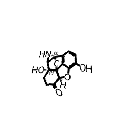 O=C1CC[C@@]2(O)C3N[C@]34C[C@@]23c2c4ccc(O)c2O[C@@H]13